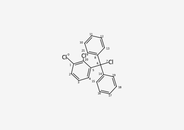 Clc1cccc(C(Cl)(c2ccccc2)c2ccccc2)c1Cl